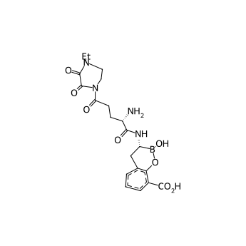 CCN1CCN(C(=O)CC[C@H](N)C(=O)N[C@H]2Cc3cccc(C(=O)O)c3OB2O)C(=O)C1=O